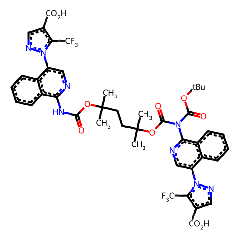 CC(C)(C)OC(=O)N(C(=O)OC(C)(C)CCC(C)(C)OC(=O)Nc1ncc(-n2ncc(C(=O)O)c2C(F)(F)F)c2ccccc12)c1ncc(-n2ncc(C(=O)O)c2C(F)(F)F)c2ccccc12